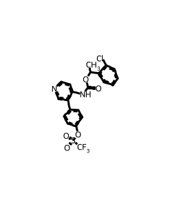 CC(OC(=O)Nc1ccncc1-c1ccc(OS(=O)(=O)C(F)(F)F)cc1)c1ccccc1Cl